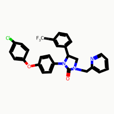 O=C1N(Cc2ccccn2)CC(c2cccc(C(F)(F)F)c2)N1c1ccc(Oc2ccc(Cl)cc2)cc1